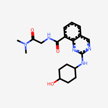 CN(C)C(=O)CNC(=O)c1cccc2cnc(NC3CCC(O)CC3)nc12